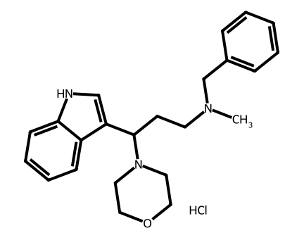 CN(CCC(c1c[nH]c2ccccc12)N1CCOCC1)Cc1ccccc1.Cl